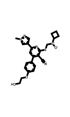 Cn1cc(-c2cc(-c3ccc(OCCO)cc3)c(C#N)c(SC[S+]([O-])C3CCC3)n2)cn1